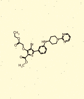 CCOC(=O)COc1c(C(=O)OC)sc(-c2cccc(NC3CCN(c4ncccn4)CC3)c2)c1Br